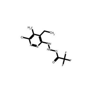 CCc1c(NNOC(=O)C(F)(F)F)nnc(Cl)c1C